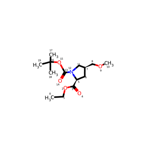 CCOC(=O)[C@@H]1C[C@H](COC)CN1C(=O)OC(C)(C)C